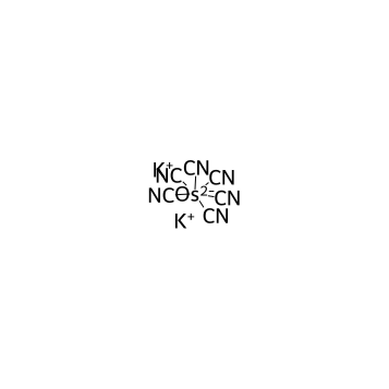 N#[C][Os-2]([C]#N)([C]#N)([C]#N)([C]#N)[C]#N.[K+].[K+]